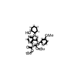 COc1ccnc(Oc2nn(C3CCCC[C@@H]3O)c3ncnc(N(C(=O)OC(C)(C)C)C(=O)OC(C)(C)C)c23)c1